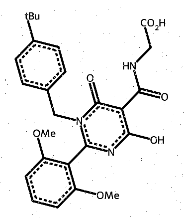 COc1cccc(OC)c1-c1nc(O)c(C(=O)NCC(=O)O)c(=O)n1Cc1ccc(C(C)(C)C)cc1